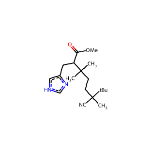 COC(=O)C(Cc1c[nH]cn1)C(C)(C)CCC(C)(C#N)C(C)(C)C